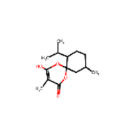 CC1=C(O)OC2(CC(C)CCC2C(C)C)OC1=O